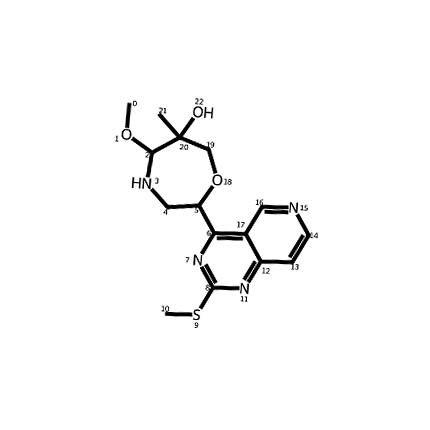 COC1NCC(c2nc(SC)nc3ccncc23)OCC1(C)O